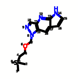 C[Si](C)(C)CCOCn1ncc2nc3[nH]ccc3cc21